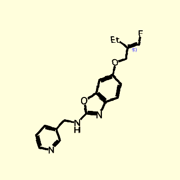 CC/C(=C\F)COc1ccc2nc(NCc3cccnc3)oc2c1